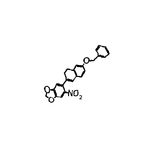 O=[N+]([O-])c1cc2c(cc1C1=Cc3ccc(OCc4ccccc4)cc3CC1)OCO2